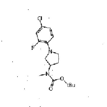 CN(C(=O)OC(C)(C)C)C1CCN(c2ccc(Cl)cc2F)C1